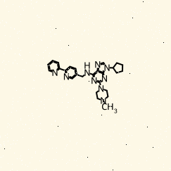 CN1CCN(c2nc(NCc3ccc(-c4ccccn4)nc3)c3ncn(C4CCCC4)c3n2)CC1